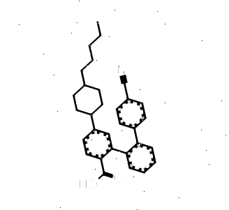 CCCCCC1CCC(c2ccc(C(=O)O)c(-c3ccccc3-c3ccc(C#N)cc3)c2)CC1